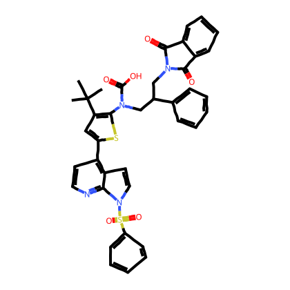 CC(C)(C)c1cc(-c2ccnc3c2ccn3S(=O)(=O)c2ccccc2)sc1N(CC(CN1C(=O)c2ccccc2C1=O)c1ccccc1)C(=O)O